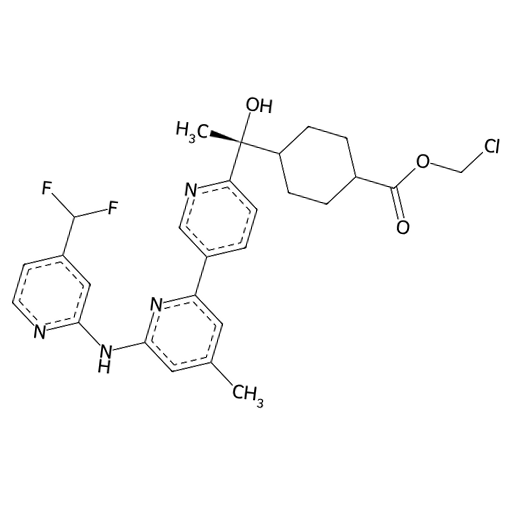 Cc1cc(Nc2cc(C(F)F)ccn2)nc(-c2ccc([C@](C)(O)C3CCC(C(=O)OCCl)CC3)nc2)c1